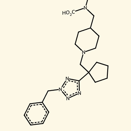 CC(C)(C)N(CC1CCN(CC2(c3nnn(Cc4ccccc4)n3)CCCC2)CC1)C(=O)O